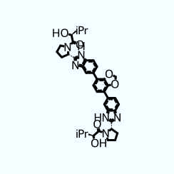 CC(C)[C@H](O)C(=O)N1CCC[C@H]1c1nc2cc(-c3ccc(-c4ccc5nc([C@@H]6CCCN6C(=O)[C@@H](O)C(C)C)[nH]c5c4)c4c3OCO4)ccc2[nH]1